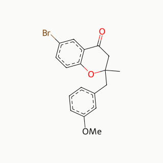 COc1cccc(CC2(C)CC(=O)c3cc(Br)ccc3O2)c1